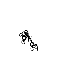 COc1cc(OC)c2c(c1)C(N(C)/N=C/c1ccc(O)c(OC)c1)=NS2(=O)=O